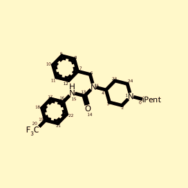 CCCC(C)N1CCC(N(Cc2ccccc2)C(=O)Nc2ccc(C(F)(F)F)cc2)CC1